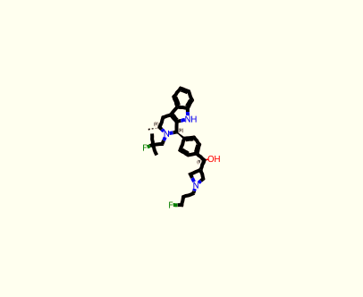 C[C@@H]1Cc2c([nH]c3ccccc23)[C@@H](c2ccc([C@H](O)C3CN(CCCF)C3)cc2)N1CC(C)(C)F